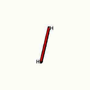 SSSSSSSSSSSSSSSSSSSSSSSSSSSSSSSSSSSSSSSSSSSSSSSSSSSSSSSSSSSSSSSSSSSSSSSSSSSSSSSSSSSSS